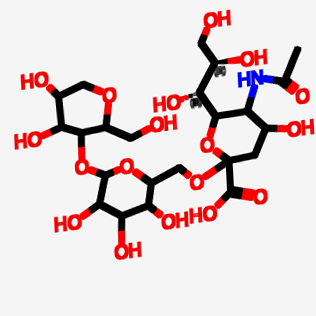 CC(=O)NC1C(O)CC(OCC2OC(OC3C(CO)OCC(O)C3O)C(O)C(O)C2O)(C(=O)O)OC1[C@H](O)[C@H](O)CO